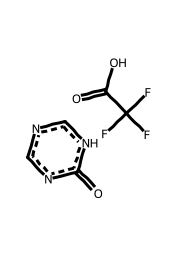 O=C(O)C(F)(F)F.O=c1ncnc[nH]1